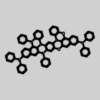 c1ccc(N(c2ccccc2)c2ccc3c4c5c(cc3c2)Oc2cc3c(cc2B5c2ccccc2O4)B2c4ccccc4N(c4ccccc4)c4c2c(cc2cc(N(c5ccccc5)c5ccccc5)ccc42)N3c2ccccc2)cc1